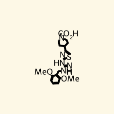 COc1cccc(OC)c1CNC(=N)Nc1nc(C2CCN(C(=O)O)CC2)cs1